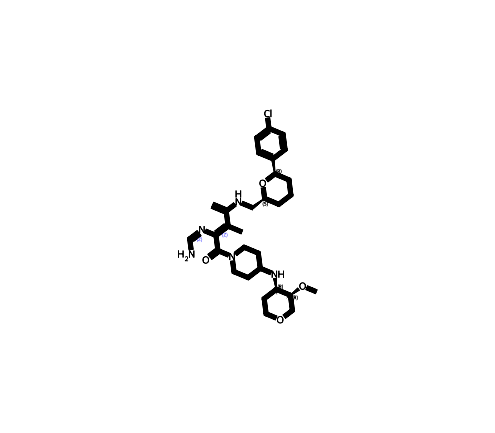 C=C(NC[C@@H]1CCC[C@H](c2ccc(Cl)cc2)O1)/C(C)=C(\N=C/N)C(=O)N1CCC(N[C@@H]2CCOC[C@@H]2OC)CC1